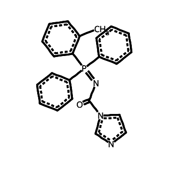 Cc1ccccc1P(=NC(=O)n1ccnc1)(c1ccccc1)c1ccccc1